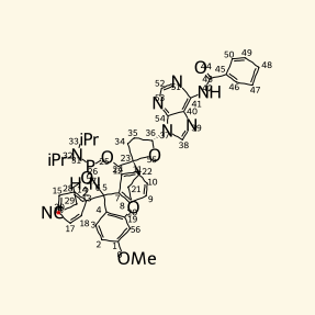 COc1ccc(C(N)(c2ccccc2)c2ccccc2)c(OCC[C@@]2(COP(OCCC#N)N(C(C)C)C(C)C)CC[C@H](n3cnc4c(NC(=O)c5ccccc5)ncnc43)O2)c1